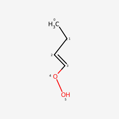 C[CH]C=COO